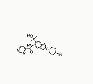 CC(C)[C@H]1CC[C@H](n2cc3cc(NC(=O)c4ccncn4)c(C(C)(C)O)cc3n2)CC1